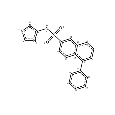 O=S(=O)(Nc1ncns1)c1ccc2c(-c3ccncc3)cccc2c1